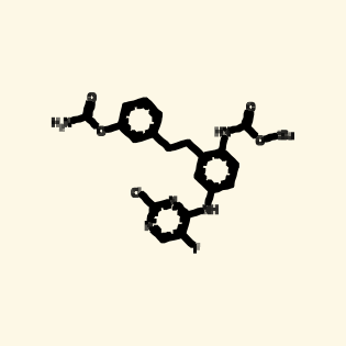 CC(C)(C)OC(=O)Nc1ccc(Nc2nc(Cl)ncc2F)cc1CCc1cccc(OC(N)=O)c1